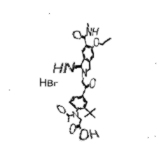 Br.CCOc1cc2c(cc1C(=O)NC)C(=N)N(CC(=O)c1ccc(N(CC(=O)O)C(C)=O)c(C(C)(C)C)c1)C2